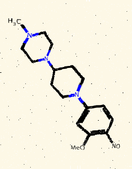 COc1cc(N2CCC(N3CCN(C)CC3)CC2)ccc1N=O